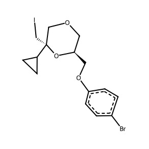 Brc1ccc(OC[C@@H]2COC[C@](CI)(C3CC3)O2)cc1